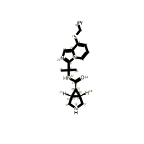 CC(C)CSc1cccn2c(C(C)(C)NC(=O)[C@H]3[C@@H]4CNC[C@@H]43)ncc12